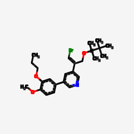 CCCOc1cc(-c2cncc(C(=CBr)CO[Si](C)(C)C(C)(C)C)c2)ccc1OC